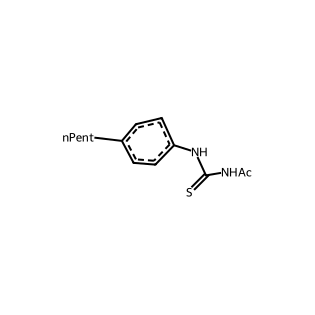 CCCCCc1ccc(NC(=S)NC(C)=O)cc1